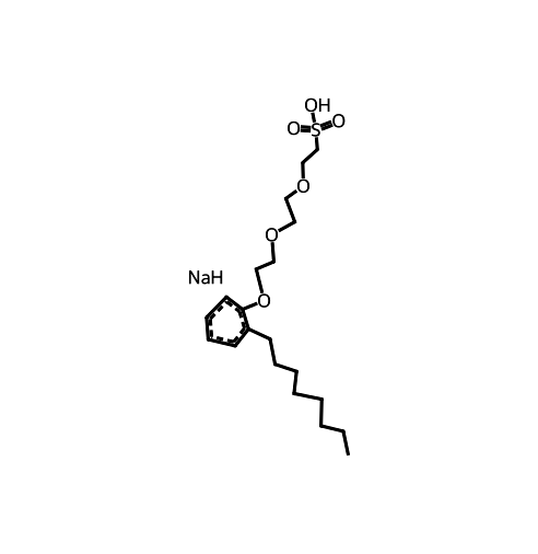 CCCCCCCCc1ccccc1OCCOCCOCCS(=O)(=O)O.[NaH]